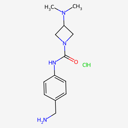 CN(C)C1CN(C(=O)Nc2ccc(CN)cc2)C1.Cl